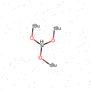 CC(C)(C)O[SiH](OC(C)(C)C)OC(C)(C)C